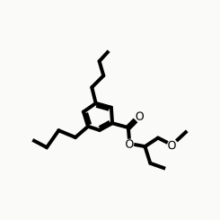 CCCCc1cc(CCCC)cc(C(=O)OC(CC)COC)c1